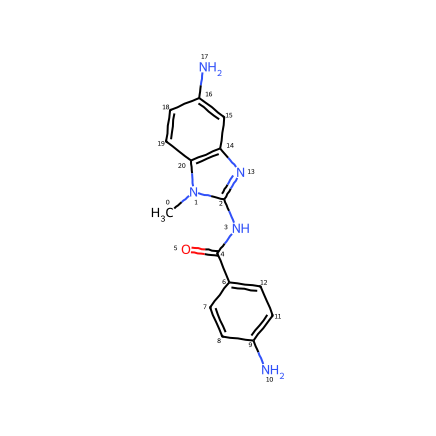 Cn1c(NC(=O)c2ccc(N)cc2)nc2cc(N)ccc21